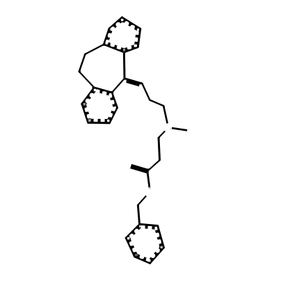 CN(CCC=C1c2ccccc2CCc2ccccc21)CCC(=O)OCc1ccccc1